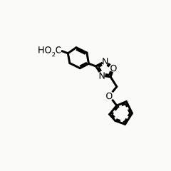 O=C(O)C1C=CC(c2noc(COc3ccccc3)n2)=CC1